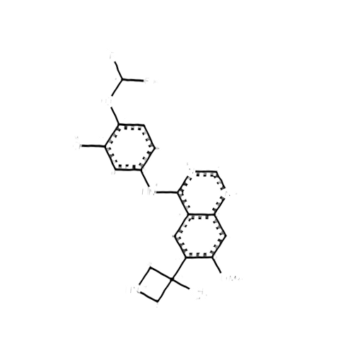 COc1cc2ncnc(Nc3ccc(OC(F)F)c(Cl)c3)c2cc1C1(C)CNC1